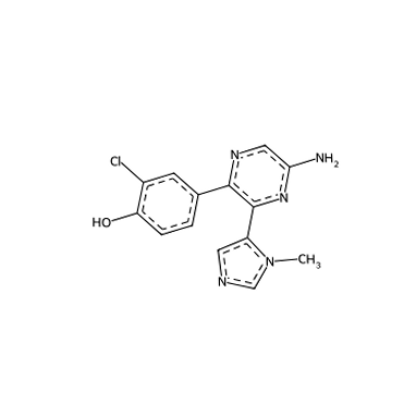 Cn1cncc1-c1nc(N)cnc1-c1ccc(O)c(Cl)c1